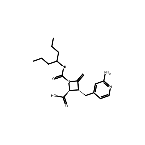 C=C1[C@H](Cc2ccnc(N)c2)[C@@H](C(=O)O)N1C(=O)NC(CCC)CCC